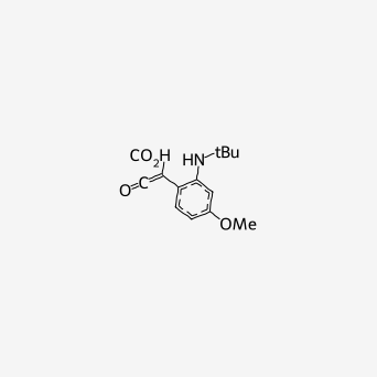 COc1ccc(C(=C=O)C(=O)O)c(NC(C)(C)C)c1